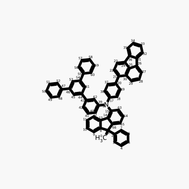 CC1(c2ccccc2)c2ccccc2-c2c(N(c3ccc(-c4ccc5c6c(cccc46)-c4ccccc4-5)cc3)c3cccc(-c4cc(-c5ccccc5)cc(-c5ccccc5)c4)c3)cccc21